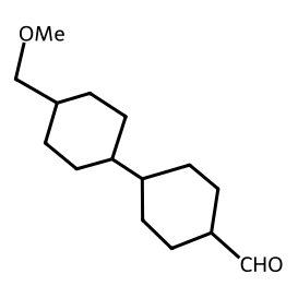 COCC1CCC(C2CCC(C=O)CC2)CC1